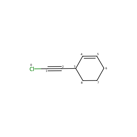 ClC#CC1C=CCCC1